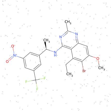 CCc1c(Br)c(OC)cc2nc(C)nc(N[C@H](C)c3cc([N+](=O)[O-])cc(C(F)(F)F)c3)c12